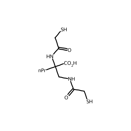 CCCC(CNC(=O)CS)(NC(=O)CS)C(=O)O